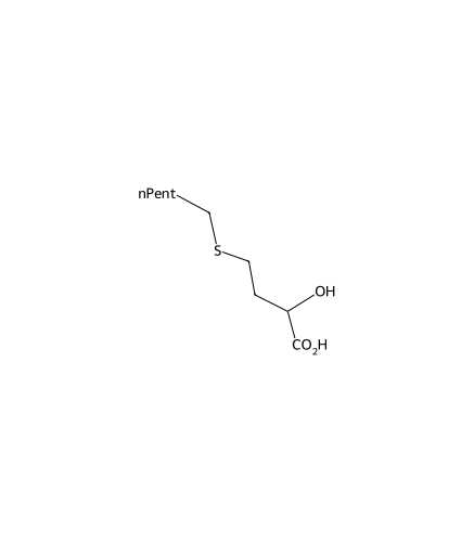 CCCCCCSCCC(O)C(=O)O